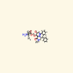 CC(C)N1C[C@H](C(c2ccccc2)c2ccccc2)n2ncc(=O)c(OCOC(=O)C(C)(C)N)c2C1=O